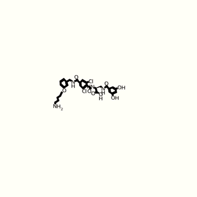 NCCCCCOc1cccc(CNC(=O)c2cc(Cl)c(C(=O)N[C@@H](CNC(=O)c3cc(O)cc(O)c3)C(=O)O)c(Cl)c2)c1